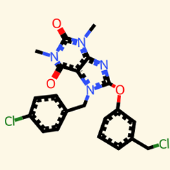 Cn1c(=O)c2c(nc(Oc3cccc(CCl)c3)n2Cc2ccc(Cl)cc2)n(C)c1=O